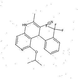 CC1=C(C#N)C(c2ccccc2C(F)(F)F)c2c(ccnc2OC(C)C)N1